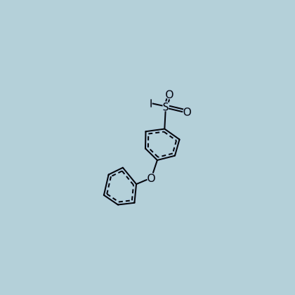 O=S(=O)(I)c1ccc(Oc2ccccc2)cc1